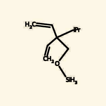 C=CC(C=C)(CO[SiH3])C(C)C